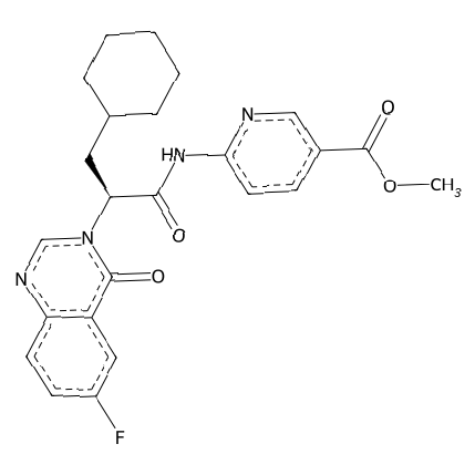 COC(=O)c1ccc(NC(=O)[C@H](CC2CCCCC2)n2cnc3ccc(F)cc3c2=O)nc1